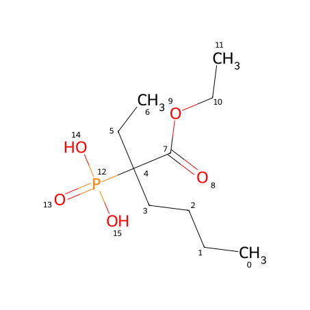 CCCCC(CC)(C(=O)OCC)P(=O)(O)O